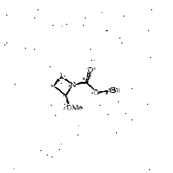 CO[C@H]1CCN1C(=O)OC(C)(C)C